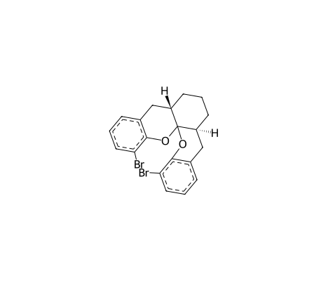 Brc1cccc2c1OC13Oc4c(Br)cccc4C[C@@H]1CCC[C@H]3C2